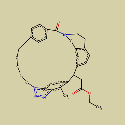 CCOC(=O)CC1c2ccc3c(c2)CN(CC3)C(=O)c2ccc(cc2)CCCCCn2nnc3c(C)c1ccc32